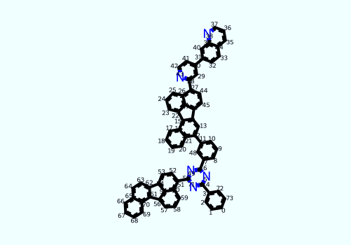 c1ccc(-c2nc(-c3cccc(-c4cc5c(c6ccccc46)-c4cccc6c(-c7cc(-c8ccc9cccnc9c8)ccn7)ccc-5c46)c3)nc(-c3ccc4c5c(cccc35)-c3c-4ccc4ccccc34)n2)cc1